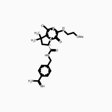 COCCNc1nc(Cl)c2n(c1=O)[C@H](C(=O)NCc1ccc(C(=N)N)cc1)CC2(C)C